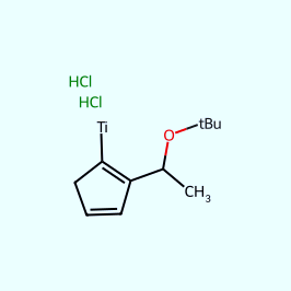 CC(OC(C)(C)C)C1=[C]([Ti])CC=C1.Cl.Cl